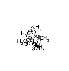 COc1ccc([C@@H](Nc2cc(C(N)=O)ccc2C)C(=O)N2CCC[C@@H]2c2cc(NC(C)=O)ccc2S(C)(=O)=O)cc1OC